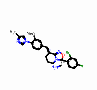 COc1cc(/C=C2\CCCN3C2=NO[C@@]3(CN)c2ccc(F)cc2Br)ccc1-n1cnc(C)c1